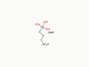 O=S(=O)(O)CCC[Si](O)(O)O.[NaH]